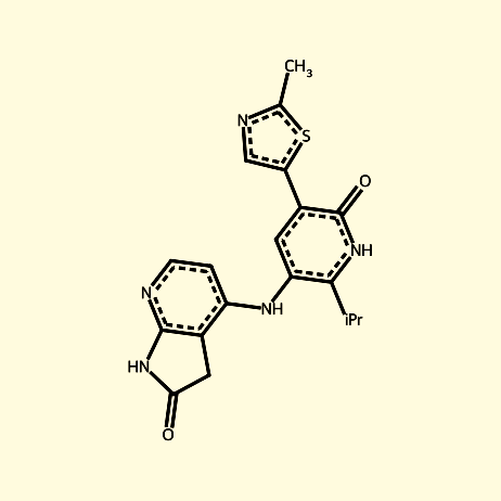 Cc1ncc(-c2cc(Nc3ccnc4c3CC(=O)N4)c(C(C)C)[nH]c2=O)s1